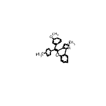 COc1cccc(/C(=C2/Oc3ccccc3-c3nn(C)cc32)c2ccc(C)cc2)c1